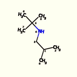 CC(C)CNC(C)(C)C